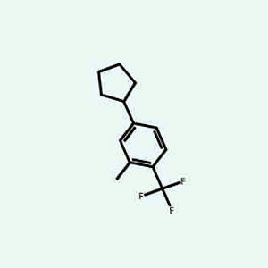 Cc1cc(C2CCCC2)ccc1C(F)(F)F